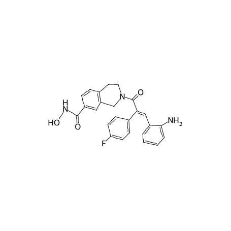 Nc1ccccc1C=C(C(=O)N1CCc2ccc(C(=O)NO)cc2C1)c1ccc(F)cc1